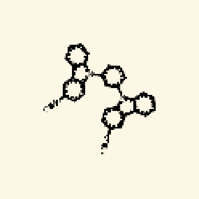 [C-]#[N+]c1ccc2c(c1)c1ccccc1n2-c1cccc(-n2c3ccccc3c3cc([N+]#[C-])ccc32)c1